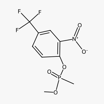 COP(C)(=O)Oc1ccc(C(F)(F)F)cc1[N+](=O)[O-]